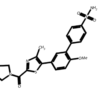 COc1ccc(-c2sc(C(=O)N3CCCC3)nc2C)cc1-c1ccc(S(N)(=O)=O)cc1